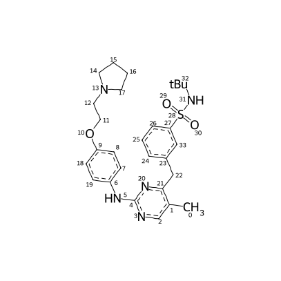 Cc1cnc(Nc2ccc(OCCN3CCCC3)cc2)nc1Cc1cccc(S(=O)(=O)NC(C)(C)C)c1